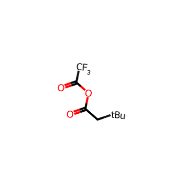 CC(C)(C)CC(=O)OC(=O)C(F)(F)F